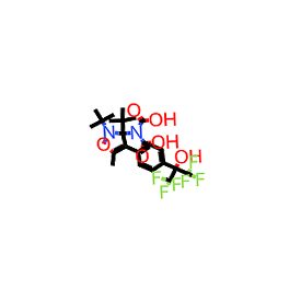 CC1=C(c2ccc(C(O)(C(F)(F)F)C(F)(F)F)cc2)C(N(C(=O)O)C(=O)O)(C(C)(C)C)N(C(C)(C)C)O1